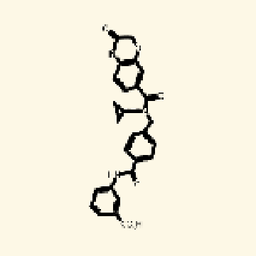 O=C1COc2cc(C(=O)N(Cc3ccc(C(=O)Nc4cccc(C(=O)O)c4)cc3)C3CC3)ccc2N1